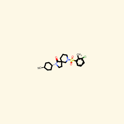 Cc1c(Cl)cccc1S(=O)(=O)N1CCCC2(CCN([C@H]3CC[C@H](C#N)CC3)C2=O)C1